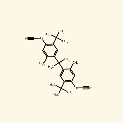 Cc1cc(OC#N)c(C(C)(C)C)cc1C(C)(C)c1cc(C(C)(C)C)c(OC#N)cc1C